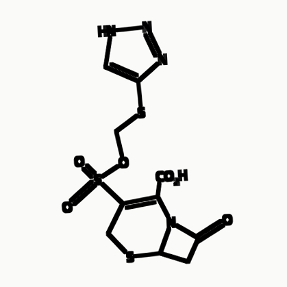 O=C(O)C1=C(S(=O)(=O)OCSc2c[nH]nn2)CSC2CC(=O)N12